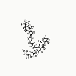 CSc1cc(C)[nH]c(=O)c1CNC(=O)c1cc(N2CCN(CC3CCN(c4ccc5c(c4)C(=O)N(C4CCC(=O)NC4=O)C5=O)CC3)CC2)c2c(c1C)OC(C)(C1CCC(NC3CC(F)C3)CC1)O2